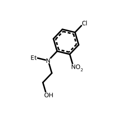 CCN(CCO)c1ccc(Cl)cc1[N+](=O)[O-]